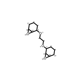 C1CC(OCCOC2CCCC3OC23)C2OC2C1